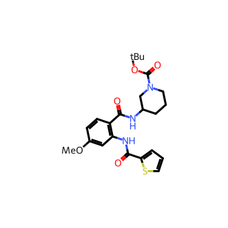 COc1ccc(C(=O)NC2CCCN(C(=O)OC(C)(C)C)C2)c(NC(=O)c2cccs2)c1